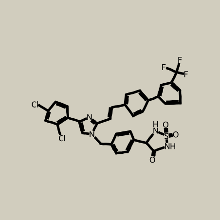 O=C1NS(=O)(=O)NC1c1ccc(Cn2cc(-c3ccc(Cl)cc3Cl)nc2C=Cc2ccc(-c3cccc(C(F)(F)F)c3)cc2)cc1